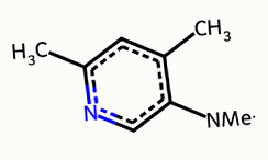 C[N]c1cnc(C)cc1C